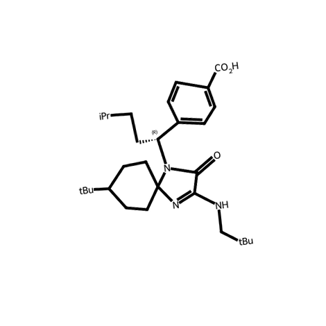 CC(C)CC[C@H](c1ccc(C(=O)O)cc1)N1C(=O)C(NCC(C)(C)C)=NC12CCC(C(C)(C)C)CC2